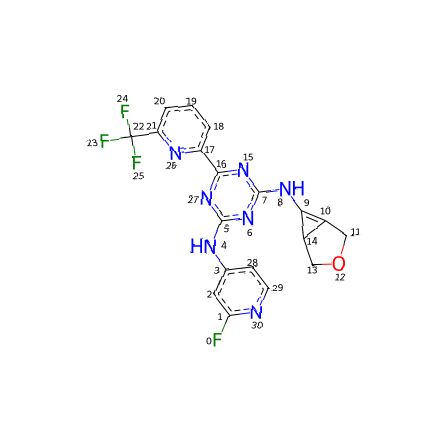 Fc1cc(Nc2nc(NC3=C4COCC43)nc(-c3cccc(C(F)(F)F)n3)n2)ccn1